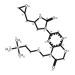 C[Si](C)(C)CCOCN1C(=O)COc2ncc(N3CC(CC4CO4)OC3=O)nc21